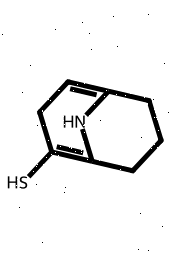 SC1=C2CCCC(=CC1)N2